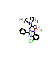 CCN(CC)C(C)Cn1c(-c2ccccc2)nc2c(Cl)cccc2c1=O